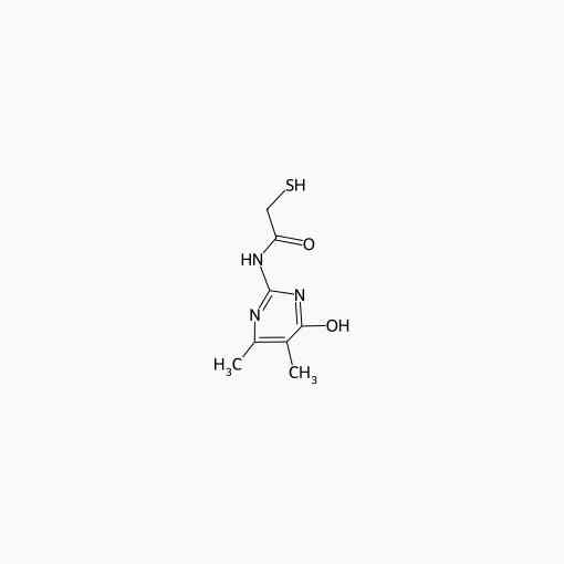 Cc1nc(NC(=O)CS)nc(O)c1C